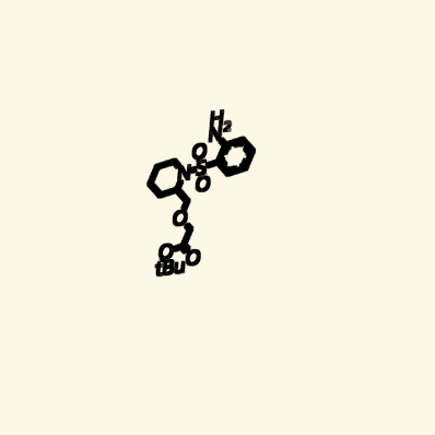 CC(C)(C)OC(=O)COCC1CCCCN1S(=O)(=O)c1ccccc1N